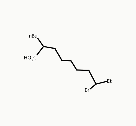 CCCCC(CCCCCC(Br)CC)C(=O)O